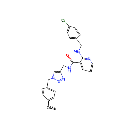 COc1ccc(Cn2cc(CNC(=O)c3cccnc3NCc3ccc(Cl)cc3)nn2)cc1